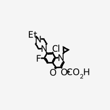 CCN1CCN(c2c(F)cc3c(=O)c(OC(=O)O)cn(C4CC4)c3c2Cl)CC1